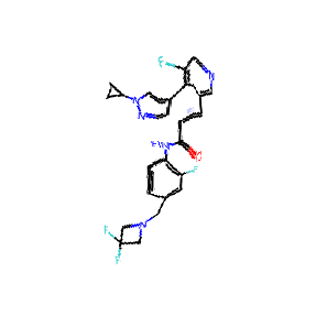 O=C(/C=C/c1cncc(F)c1-c1cnn(C2CC2)c1)Nc1ccc(CN2CC(F)(F)C2)cc1F